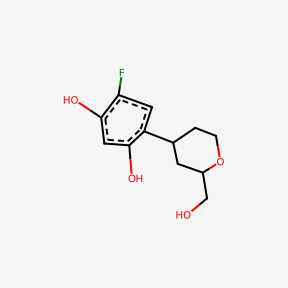 OCC1CC(c2cc(F)c(O)cc2O)CCO1